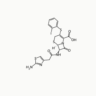 Nc1nc(CC(=O)N[C@@H]2C(=O)N3C(C(=O)O)=C(Sc4ccccc4I)CS[C@H]23)cs1